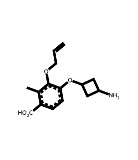 C=CCOc1c(OC2CC(N)C2)ccc(C(=O)O)c1C